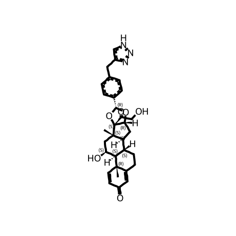 C[C@]12C=CC(=O)C=C1CC[C@@H]1[C@@H]2[C@@H](O)C[C@@]2(C)[C@H]1C[C@H]1O[C@@H](c3ccc(Cc4c[nH]nn4)cc3)O[C@]12C(=O)CO